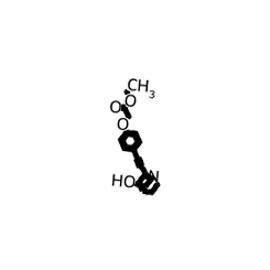 CCOC(=O)COc1ccc(C#CC2C(O)C3CCN2CC3)cc1